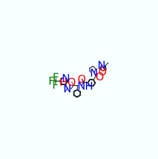 Cc1coc([C@H]2CCCN2C(=O)c2cccc(C(=O)N[C@@](C)(c3ccccc3)[C@H](O)CN(C)c3cncc(C(F)(F)F)c3)c2)n1